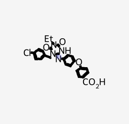 CCn1c(=O)[nH]/c(=N\c2ccc(Oc3ccc(C(=O)O)cc3)cc2)n(Cc2ccc(Cl)cc2)c1=O